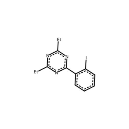 CCc1nc(CC)nc(-c2ccccc2I)n1